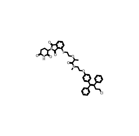 CC(OCCSc1cccc2c1C(=O)N(C1CCC(=O)NC1=O)C2=O)C(=O)N(C)CCOc1ccc(/C(=C(/CCCl)c2ccccc2)c2ccccc2)cc1